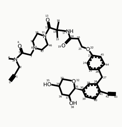 C#CCN(C)C(=O)CN1CCN(C(=O)C(C)(C)NC(=O)CCOc2ccc(Cc3cc([C@@H]4OCC(O)CC4O)ccc3C#C)cc2)CC1